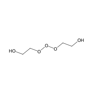 OCCOOOCCO